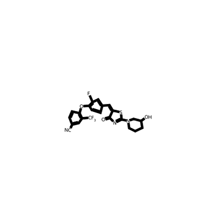 N#Cc1ccc(Oc2ccc(C=C3SC(N4CCCC(O)C4)=NC3=O)cc2F)c(C(F)(F)F)c1